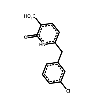 O=C(O)c1ccc(Cc2cccc(Cl)c2)[nH]c1=O